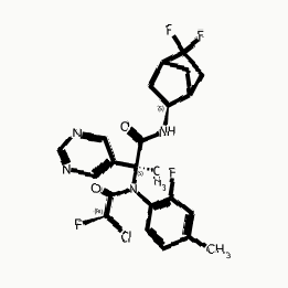 Cc1ccc(N(C(=O)[C@H](F)Cl)[C@](C)(C(=O)N[C@H]2CC3CC2CC3(F)F)c2cncnc2)c(F)c1